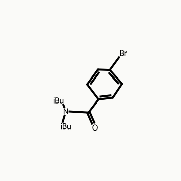 CCC(C)N(C(=O)c1ccc(Br)cc1)C(C)CC